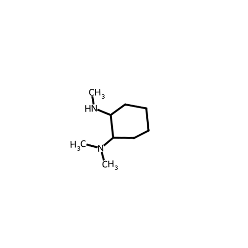 CNC1CCCCC1N(C)C